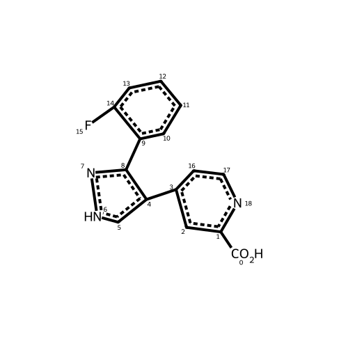 O=C(O)c1cc(-c2c[nH]nc2-c2ccccc2F)ccn1